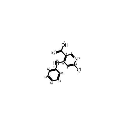 O=C(O)c1cnc(Cl)cc1Nc1ccccc1